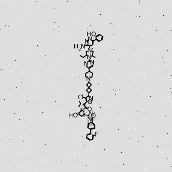 CCC1CN(c2cc(-c3ccccc3O)nnc2N)CC(C)N1c1ncc(C2CCN([C@H]3CC4(C[C@H](c5noc([C@H](C(=O)N6C[C@H](O)C[C@H]6C6=NO[C@@](C)(c7ccc(-c8ccccc8F)cc7)N6)C(C)C)c5Cl)C4)C3)CC2)cn1